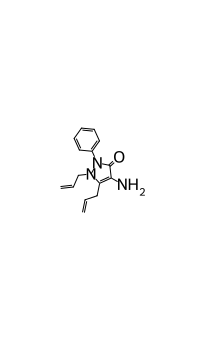 C=CCc1c(N)c(=O)n(-c2ccccc2)n1CC=C